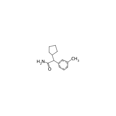 Cc1cccc(C(C(N)=O)C2CCCC2)c1